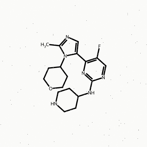 Cc1ncc(-c2nc(NC3CCNCC3)ncc2F)n1C1CCOCC1